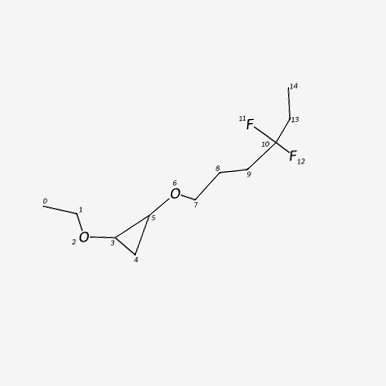 CCOC1CC1OCCCC(F)(F)CC